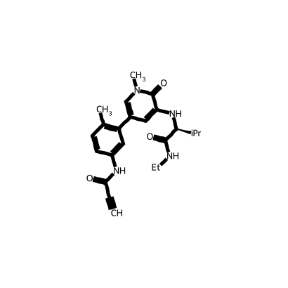 C#CC(=O)Nc1ccc(C)c(-c2cc(N[C@H](C(=O)NCC)C(C)C)c(=O)n(C)c2)c1